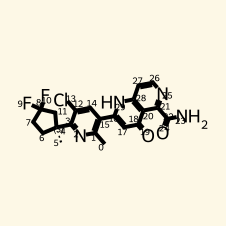 Cc1nc([C@@]2(C)CCC(F)(F)C2)c(Cl)cc1-c1cc(=O)c2c(C(N)=O)nccc2[nH]1